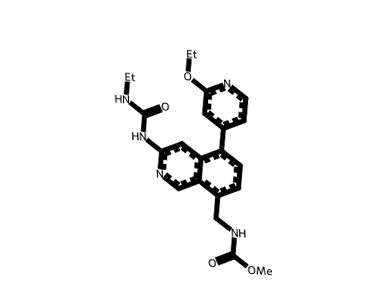 CCNC(=O)Nc1cc2c(-c3ccnc(OCC)c3)ccc(CNC(=O)OC)c2cn1